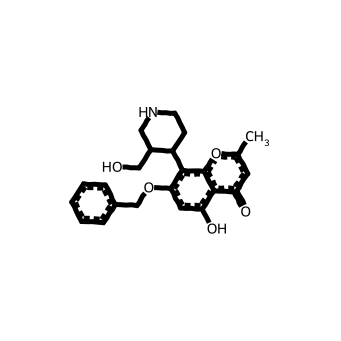 Cc1cc(=O)c2c(O)cc(OCc3ccccc3)c(C3CCNCC3CO)c2o1